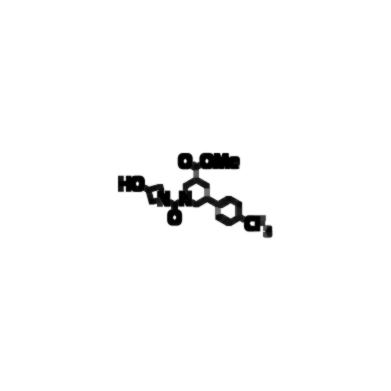 COC(=O)C1CC(c2ccc(C(F)(F)F)cc2)CN(C(=O)N2CC(O)C2)C1